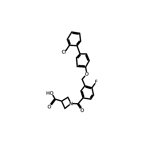 O=C(O)C1CN(C(=O)c2ccc(F)c(COc3ccc(-c4ccccc4Cl)cc3)c2)C1